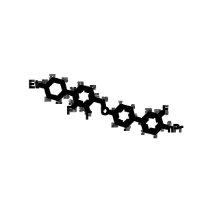 CCCc1ccc(-c2ccc(OCc3ccc(C4CCC(CC)CC4)c(F)c3F)cc2)cc1F